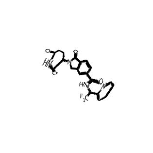 O=C1CCC(N2Cc3cc(C(=O)NC(c4ccccn4)C(F)(F)F)ccc3C2=O)C(=O)N1